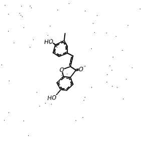 Cc1cc(/C=C2\Oc3cc(O)ccc3C2=O)ccc1O